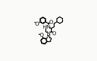 CCN(C(=O)C(CCC1CCCCC1)NC(=O)c1cccc(OC)c1)N1CCc2cccc(OC)c21